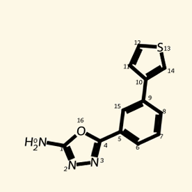 Nc1nnc(-c2cccc(-c3ccsc3)c2)o1